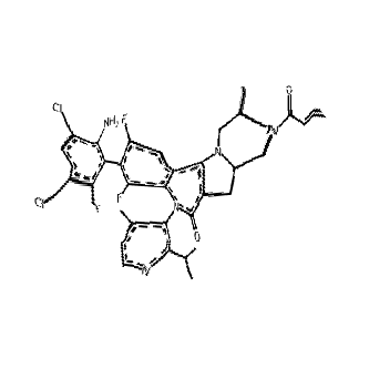 C=CC(=O)N1CC2Cc3c(c4cc(F)c(-c5c(N)c(Cl)cc(Cl)c5F)c(F)c4n(-c4c(C)ccnc4C(C)C)c3=O)N2CC1C